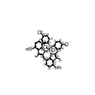 CCCc1ccc(C)c2c1C(C)=C(C)[CH]2[Zr]([Cl])([Cl])([CH]1C(C)=C(C)c2c(CCC)ccc(C)c21)=[Si](c1ccc(Cl)cc1)c1ccc(Cl)cc1